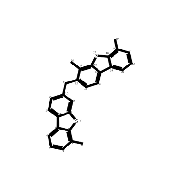 Cc1cccc2c1sc1cc(Cc3ccc4c(sc5c(C)cccc54)c3C)ccc12